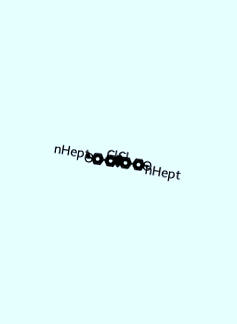 CCCCCCCO[C@H]1CC[C@H](C2CCC3(CC2)CC2(CCC([C@H]4CC[C@H](OCCCCCCC)CC4)CC2)C3(Cl)Cl)CC1